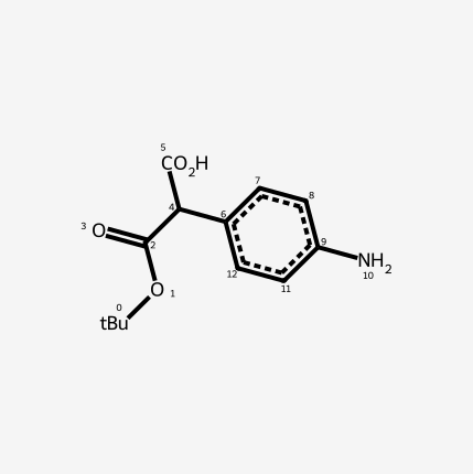 CC(C)(C)OC(=O)C(C(=O)O)c1ccc(N)cc1